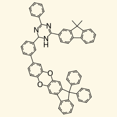 CC1(C)c2ccccc2-c2ccc(C3=NC(c4ccccc4)=NC(c4cccc(-c5ccc6c(c5)Oc5cc7c(cc5O6)-c5ccccc5C7(c5ccccc5)c5ccccc5)c4)N3)cc21